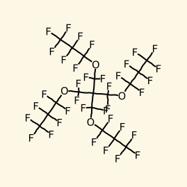 FC(F)(F)C(F)(F)C(F)(F)OC(F)(F)C(C(F)(F)OC(F)(F)C(F)(F)C(F)(F)F)(C(F)(F)OC(F)(F)C(F)(F)C(F)(F)F)C(F)(F)OC(F)(F)C(F)(F)C(F)(F)F